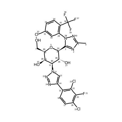 Cc1nc([C@@H]2O[C@H](CO)[C@H](O)[C@H](n3cc(-c4ccc(Cl)c(F)c4Cl)nn3)[C@H]2O)n(-c2cc(Cl)ccc2C(F)(F)F)n1